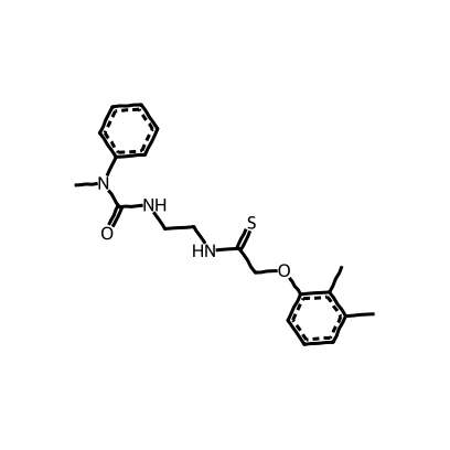 Cc1cccc(OCC(=S)NCCNC(=O)N(C)c2ccccc2)c1C